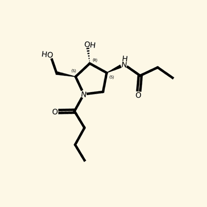 CCCC(=O)N1C[C@H](NC(=O)CC)[C@@H](O)[C@@H]1CO